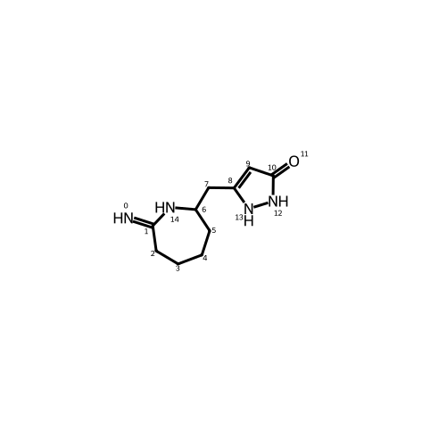 N=C1CCCCC(Cc2cc(=O)[nH][nH]2)N1